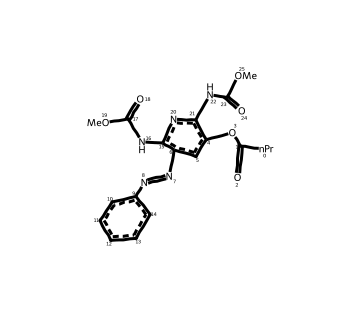 CCCC(=O)Oc1cc(/N=N/c2ccccc2)c(NC(=O)OC)nc1NC(=O)OC